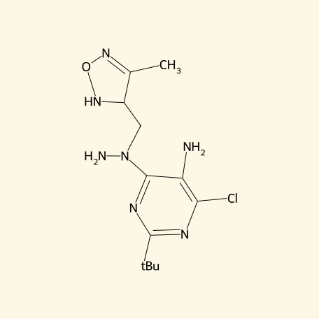 CC1=NONC1CN(N)c1nc(C(C)(C)C)nc(Cl)c1N